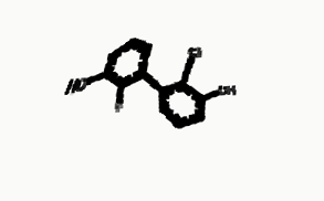 Oc1cccc(-c2cccc(O)c2Cl)c1F